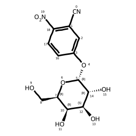 N#Cc1cc(O[C@H]2O[C@H](CO)[C@H](O)[C@H](O)[C@H]2O)ccc1[N+](=O)[O-]